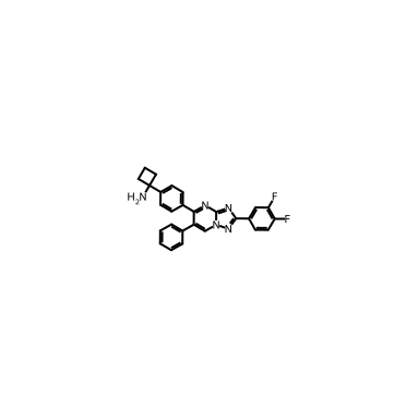 NC1(c2ccc(-c3nc4nc(-c5ccc(F)c(F)c5)nn4cc3-c3ccccc3)cc2)CCC1